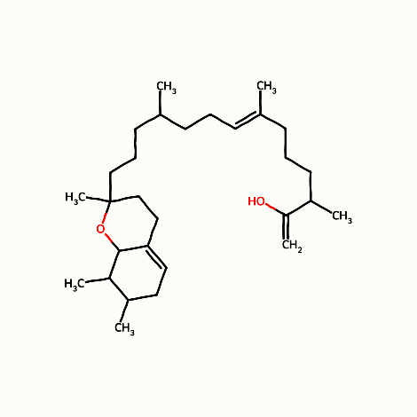 C=C(O)C(C)CCC/C(C)=C/CCC(C)CCCC1(C)CCC2=CCC(C)C(C)C2O1